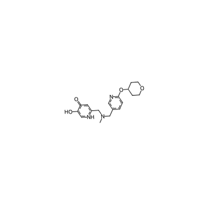 CN(Cc1ccc(OC2CCOCC2)nc1)Cc1cc(=O)c(O)c[nH]1